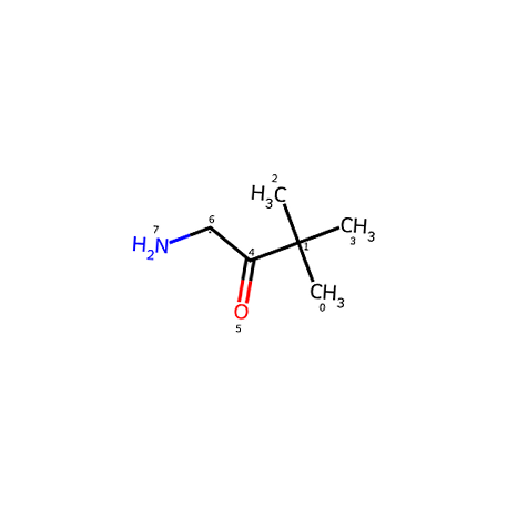 CC(C)(C)C(=O)[CH]N